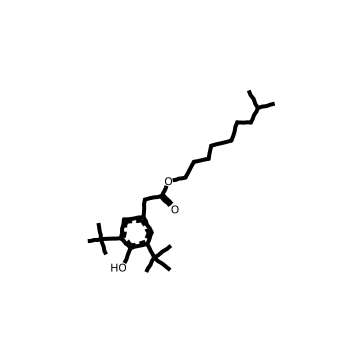 CC(C)CCCCCCCOC(=O)Cc1cc(C(C)(C)C)c(O)c(C(C)(C)C)c1